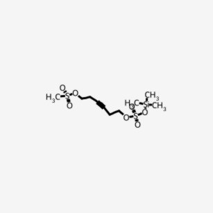 C[Si](C)(C)OS(=O)(=O)OCCC#CCCOS(C)(=O)=O